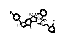 C[C@H]1C2=CNN(c3ccc(F)cc3)C2=CC2=C1[C@@H](CN(CCc1ccccc1F)S(=O)(=O)c1ccccc1C(=O)O)CC2